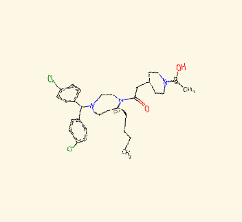 CCCC[C@H]1CN(C(c2ccc(Cl)cc2)c2ccc(Cl)cc2)CCN1C(=O)CC1CCN(B(C)O)CC1